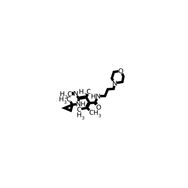 C=N/C(NC1(C)CC1)=C(\C)C(C(=O)NCCCN1CCOCC1)=C(C)C